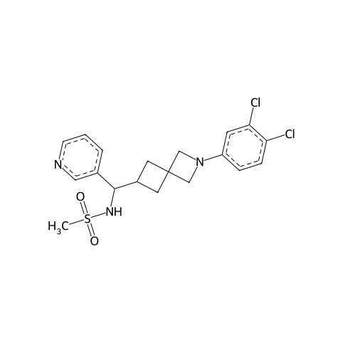 CS(=O)(=O)NC(c1cccnc1)C1CC2(C1)CN(c1ccc(Cl)c(Cl)c1)C2